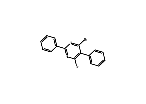 Brc1nc(-c2ccccc2)nc(Br)c1-c1ccccc1